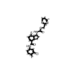 O=C(N[C@H]1CCc2c(C(=O)Nc3ccc(F)c(Cl)c3)ccc(F)c21)OCc1ncccn1